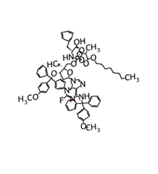 C#C[C@]1(COP(=O)(N[C@@H](Cc2ccccc2)C(=O)O)O[C@@H](C)C(=O)OCCCCCCCC)O[C@@H](n2cnc3c(NC(c4ccccc4)(c4ccccc4)c4ccc(OC)cc4)nc(F)nc32)C[C@@H]1OC(c1ccccc1)(c1ccccc1)c1ccc(OC)cc1